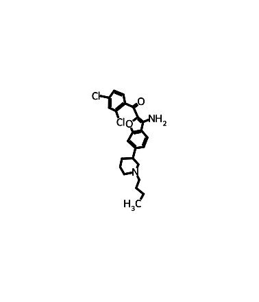 CCCCN1CCCC(c2ccc3c(N)c(C(=O)c4ccc(Cl)cc4Cl)oc3c2)C1